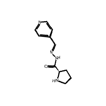 O=C(NN=Cc1ccncc1)[C@H]1CCCN1